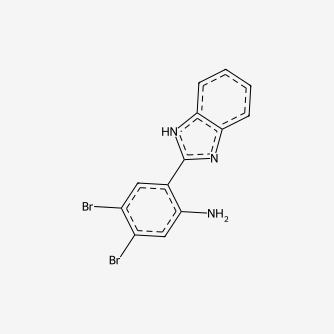 Nc1cc(Br)c(Br)cc1-c1nc2ccccc2[nH]1